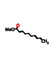 C=C/C=C/CCCC=CC(=O)OC